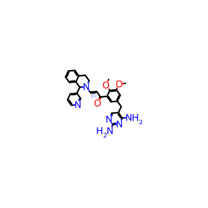 COc1cc(Cc2cnc(N)nc2N)cc(C(=O)/C=C/N2CCc3ccccc3C2c2cccnc2)c1OC